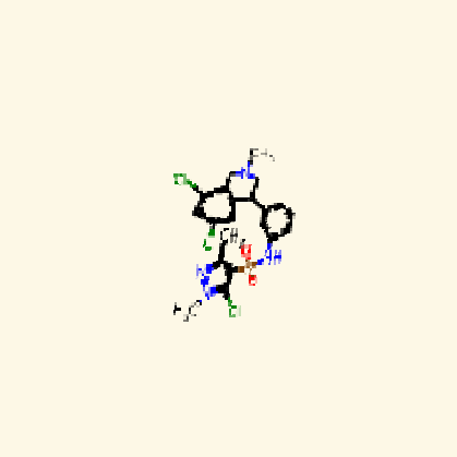 Cc1nn(C)c(Cl)c1S(=O)(=O)Nc1cccc(C2CN(C)Cc3c(Cl)cc(Cl)cc32)c1